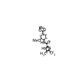 COC1CN(C(=O)OC(C)(C)C)CCC1NC(=O)c1nc(C(F)(F)F)c(C)[nH]1